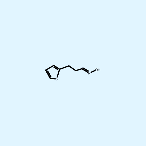 ON=CCCc1cccs1